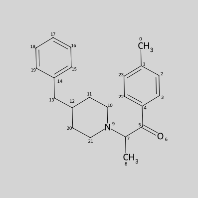 Cc1ccc(C(=O)C(C)N2CCC(Cc3ccccc3)CC2)cc1